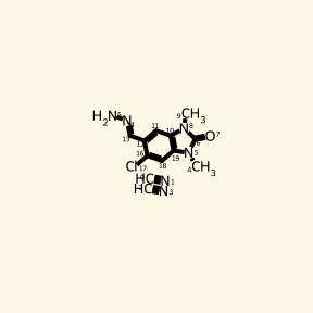 C#N.C#N.Cn1c(=O)n(C)c2cc(C=NN)c(Cl)cc21